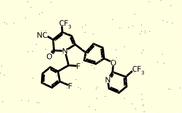 N#Cc1c(C(F)(F)F)cc(-c2ccc(Oc3ncccc3C(F)(F)F)cc2)n(C(F)c2ccccc2F)c1=O